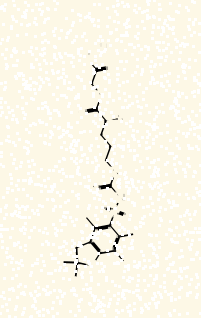 Cc1c(C)c(S(=O)(=O)NC(=N)NCCC[C@H](N)C(=O)NCC(=O)OC(C)(C)C)c(C)c2c1OC(C)(C)C2